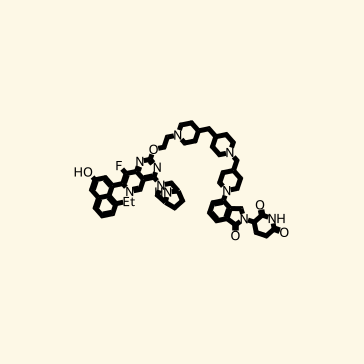 CCc1cccc2cc(O)cc(-c3ncc4c(N5CC6CCC(C5)N6)nc(OCCN5CCC(CC6CCN(CC7CCN(c8cccc9c8CN(C8CCC(=O)NC8=O)C9=O)CC7)CC6)CC5)nc4c3F)c12